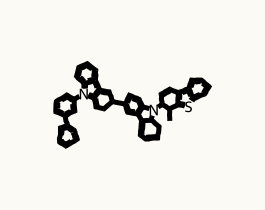 CC1c2sc3ccccc3c2C=CC1N1c2ccc(C3C=c4c(n(-c5cccc(-c6ccccc6)c5)c5ccccc45)=CC3)cc2C2=CC=CCC21